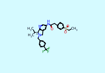 CCS(=O)(=O)c1ccc(CC(=O)Nc2cnc3c(c2)CN(Cc2ccc(C(F)(F)F)cc2)[C@H]3C(C)C)cc1